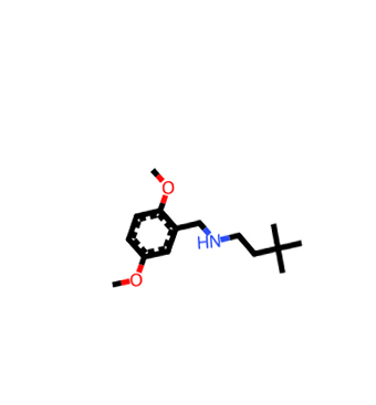 COc1ccc(OC)c(CNCCC(C)(C)C)c1